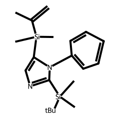 C=C(C)[Si](C)(C)c1cnc([Si](C)(C)C(C)(C)C)n1-c1ccccc1